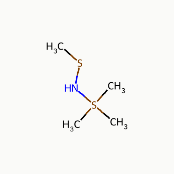 CSNS(C)(C)C